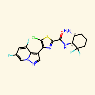 N[C@@H]1CCCC(F)(F)[C@H]1NC(=O)c1nc(-c2cnn3cc(F)cc(F)c23)c(Cl)s1